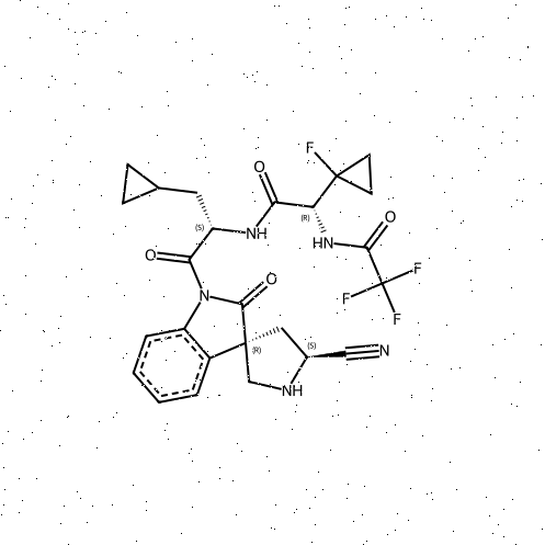 N#C[C@@H]1C[C@@]2(CN1)C(=O)N(C(=O)[C@H](CC1CC1)NC(=O)[C@@H](NC(=O)C(F)(F)F)C1(F)CC1)c1ccccc12